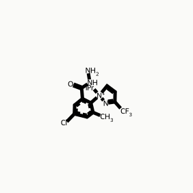 Cc1cc(Cl)cc(C(=O)NN)c1[N+]1(C(C)C)C=CC(C(F)(F)F)=N1